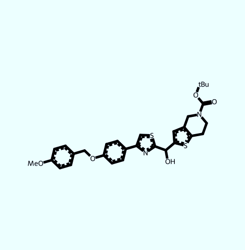 COc1ccc(COc2ccc(-c3csc(C(O)c4cc5c(s4)CCN(C(=O)OC(C)(C)C)C5)n3)cc2)cc1